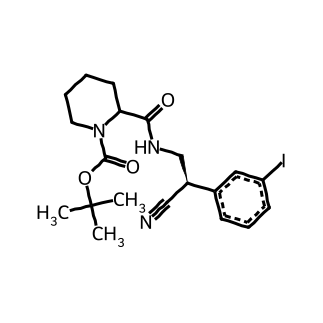 CC(C)(C)OC(=O)N1CCCCC1C(=O)NC[C@H](C#N)c1cccc(I)c1